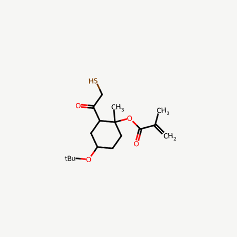 C=C(C)C(=O)OC1(C)CCC(OC(C)(C)C)CC1C(=O)CS